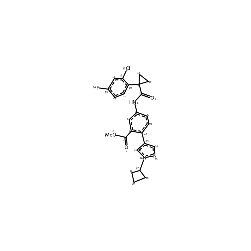 COC(=O)c1cc(NC(=O)C2(c3ccc(F)cc3Cl)CC2)ccc1-c1cnn(C2CCC2)c1